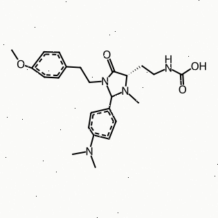 COc1ccc(CCN2C(=O)[C@H](CCNC(=O)O)N(C)C2c2ccc(N(C)C)cc2)cc1